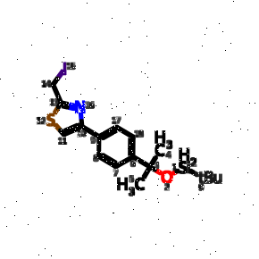 CC(C)(C)[SiH2]OC(C)(C)c1ccc(-c2csc(CI)n2)cc1